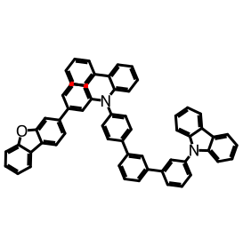 c1ccc(-c2ccccc2N(c2ccc(-c3cccc(-c4cccc(-n5c6ccccc6c6ccccc65)c4)c3)cc2)c2cccc(-c3ccc4c(c3)oc3ccccc34)c2)cc1